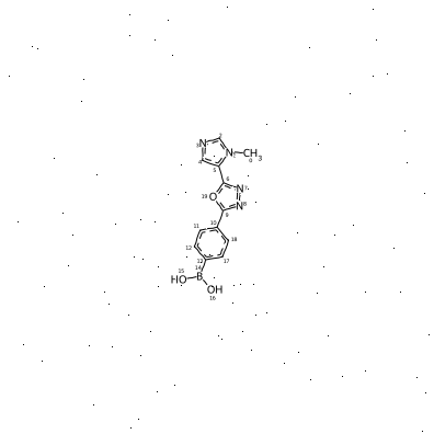 Cn1cncc1-c1nnc(-c2ccc(B(O)O)cc2)o1